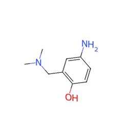 CN(C)Cc1cc(N)ccc1O